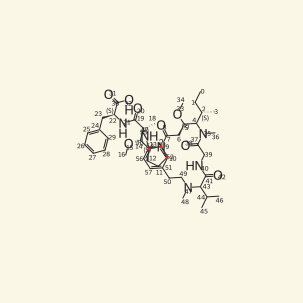 CC[C@H](C)C([C@@H](CC(=O)N1CCC[C@H]1[C@H](OC)[C@@H](C)C(=O)N[C@@H](Cc1ccccc1)C(=O)O)OC)N(C)C(=O)CNC(=O)C(C(C)C)N(C)CCc1ccc(N)cc1